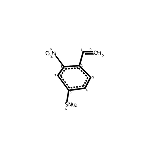 C=Cc1ccc(SC)cc1[N+](=O)[O-]